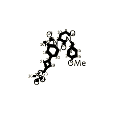 COc1ccc(CN2C(=O)CCC(n3c(=O)n(C)c4cc(C5CC(COS(C)(=O)=O)C5)ccc43)C2=O)cc1